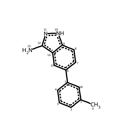 Cc1cccc(-c2ccc3[nH]nc(N)c3c2)c1